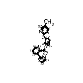 Cc1ccc(OC2CC3CC2N(C(=O)c2ncccc2-c2nccs2)C3)nc1